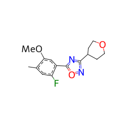 COc1cc(-c2nc(C3CCOCC3)no2)c(F)cc1C